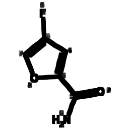 NC(=O)c1cc(F)co1